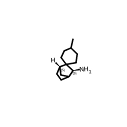 CC1CCC2(CC1)[C@H]1CCC(C1)[C@@H]2N